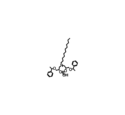 CCCCCCCCCCCCN1CC(COC(C)c2ccccc2)OB(O)OC(COC(C)c2ccccc2)C1